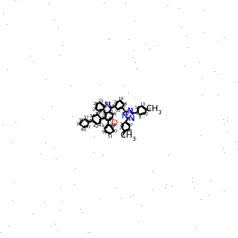 Cc1ccc(-c2nc(-c3ccc(C)cc3)nc(-c3cccc(-c4nc5ccccc5c5c(-c6ccc(-c7ccccc7)cc6)c6c(cc45)oc4ccccc46)c3)n2)cc1